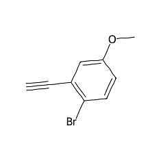 C#Cc1cc(OC)ccc1Br